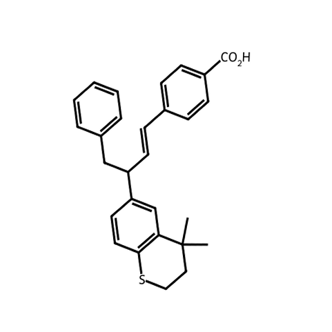 CC1(C)CCSc2ccc(C(C=Cc3ccc(C(=O)O)cc3)Cc3ccccc3)cc21